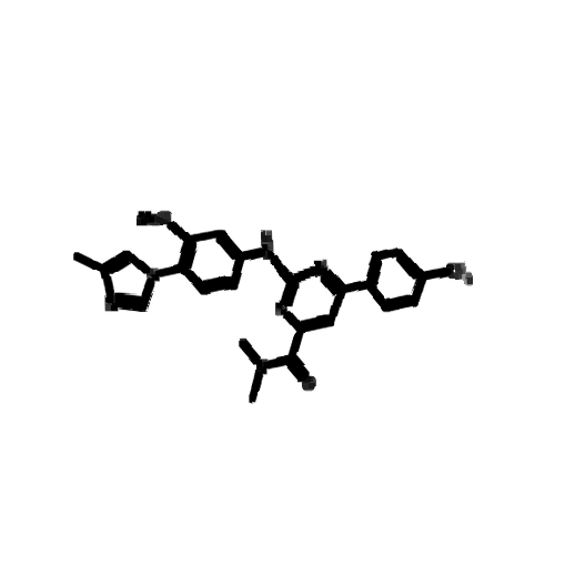 COc1cc(Nc2nc(C(=O)N(C)C)cc(-c3ccc(C(F)(F)F)cc3)n2)ccc1-n1cnc(C)c1